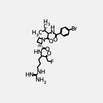 CC(C)C(NC(=O)c1ccc(Br)cc1)C(=O)N1CC[C@H]1C(=O)NC(CCCNC(=N)N)C(=O)CF